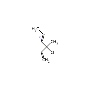 C=CC(C)(Cl)/C=C/C